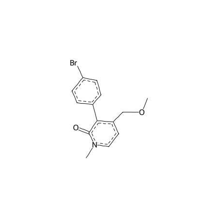 COCc1ccn(C)c(=O)c1-c1ccc(Br)cc1